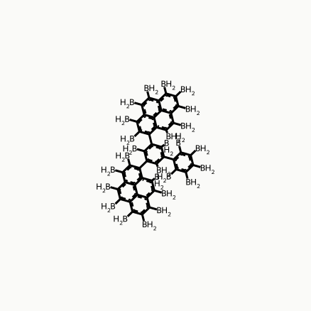 Bc1c(B)c(B)c(-c2c(B)c(-c3c(B)c(B)c4c(B)c(B)c5c(B)c(B)c(B)c6c(B)c(B)c3c4c56)c(B)c(-c3c(B)c(B)c4c(B)c(B)c5c(B)c(B)c(B)c6c(B)c(B)c3c4c56)c2B)c(B)c1B